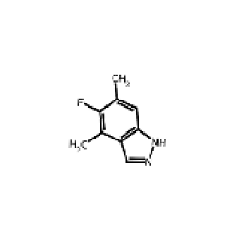 Cc1cc2[nH]ncc2c(C)c1F